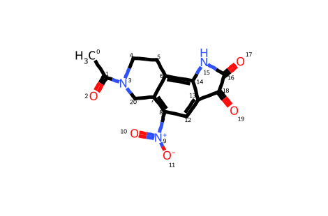 CC(=O)N1CCc2c(c([N+](=O)[O-])cc3c2NC(=O)C3=O)C1